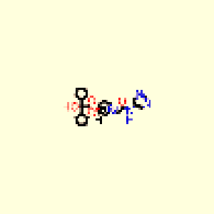 O=C(C[N+]12CCC(CC1)[C@@H](OC(=O)C(O)(C1CCCC1)C1CCCC1)C2)Nc1cncnc1